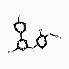 COc1ccc(Nc2cc(-c3ccc(S)cc3)nc(N)n2)cc1Cl